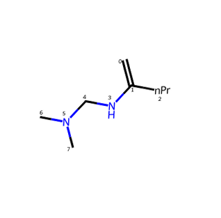 C=C(CCC)NCN(C)C